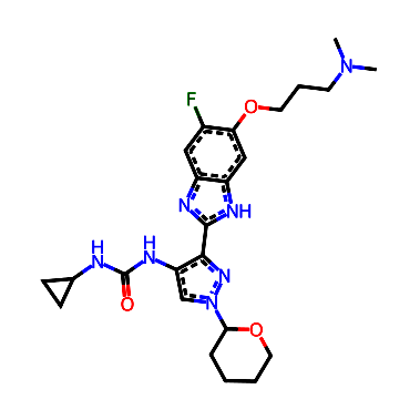 CN(C)CCCOc1cc2[nH]c(-c3nn(C4CCCCO4)cc3NC(=O)NC3CC3)nc2cc1F